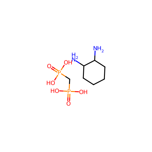 NC1CCCCC1N.O=P(O)(O)CP(=O)(O)O